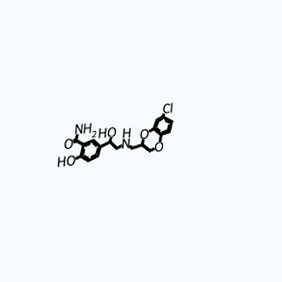 NC(=O)c1cc(C(O)CNCC2COc3ccc(Cl)cc3O2)ccc1O